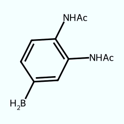 Bc1ccc(NC(C)=O)c(NC(C)=O)c1